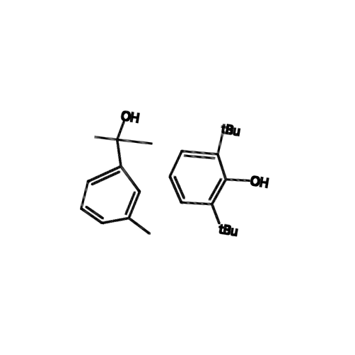 CC(C)(C)c1cccc(C(C)(C)C)c1O.Cc1cccc(C(C)(C)O)c1